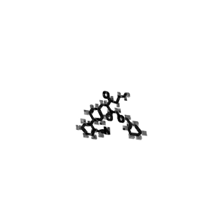 CCCCC(=O)C(Cc1ccc(-c2ccccc2C#N)cc1)C(=O)COCc1ccccc1